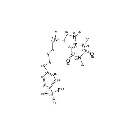 CN(CCCCSc1ccc(C(F)(F)F)cc1)CCN(C)c1cc(=O)n(C)c(=O)n1C